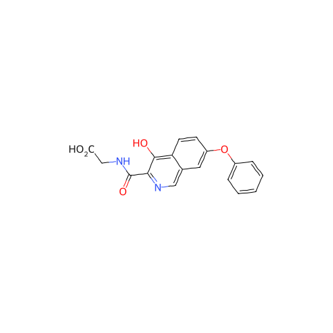 O=C(O)CNC(=O)c1ncc2cc(Oc3ccccc3)ccc2c1O